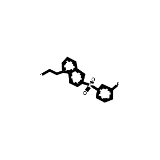 [CH2]CCc1cccc2cc(S(=O)(=O)c3cccc(F)c3)ccc12